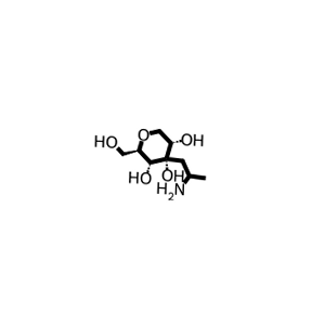 CC(N)C[C@@]1(O)[C@H](O)[C@@H](CO)OC[C@@H]1O